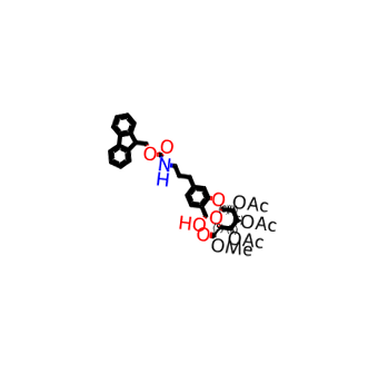 COC(=O)[C@H]1O[C@@H](Oc2cc(CCCNC(=O)OCC3c4ccccc4-c4ccccc43)ccc2CO)[C@H](OC(C)=O)[C@@H](OC(C)=O)[C@@H]1OC(C)=O